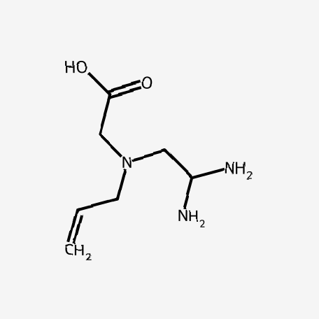 C=CCN(CC(=O)O)CC(N)N